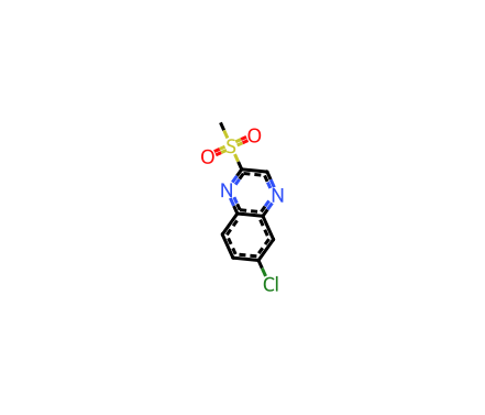 CS(=O)(=O)c1cnc2cc(Cl)ccc2n1